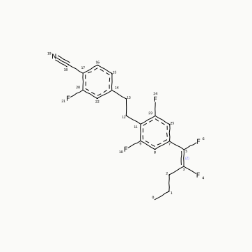 CCC/C(F)=C(/F)c1cc(F)c(CCc2ccc(C#N)c(F)c2)c(F)c1